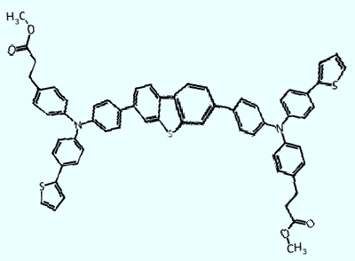 COC(=O)CCc1ccc(N(c2ccc(-c3ccc4c(c3)sc3cc(-c5ccc(N(c6ccc(CCC(=O)OC)cc6)c6ccc(-c7cccs7)cc6)cc5)ccc34)cc2)c2ccc(-c3cccs3)cc2)cc1